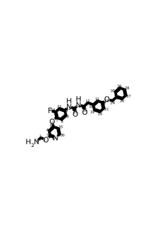 NCOc1cc(Oc2ccc(NC(=O)NC(=O)Cc3cccc(OCc4ccccc4)c3)cc2F)ccn1